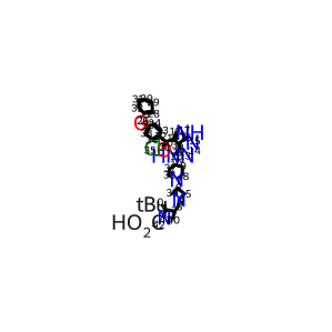 CC(C)(C)C1C(CN2CC(N3CCC(Nc4ncnc5[nH]cc(C(=O)c6ccc(Oc7ccccc7)cc6Cl)c45)CC3)C2)CN1C(=O)O